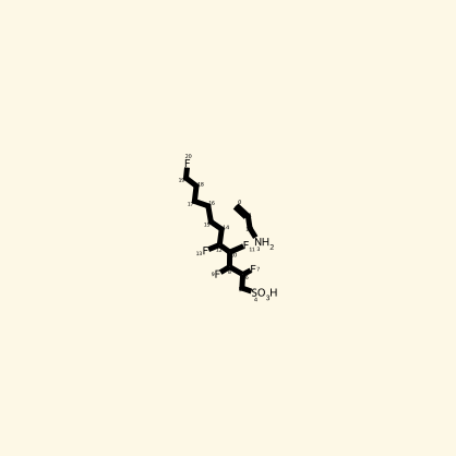 C=CCN.O=S(=O)(O)CC(F)C(F)C(F)C(F)CCCCCCF